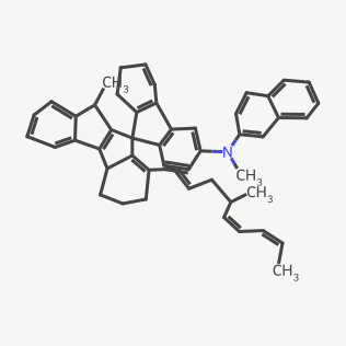 C/C=C\C=C/C(C)CC=CC1=C2C(CCC1)C1=C(C(C)c3ccccc31)C21C2=C(C=CCC2)c2cc(N(C)c3ccc4ccccc4c3)c#cc21